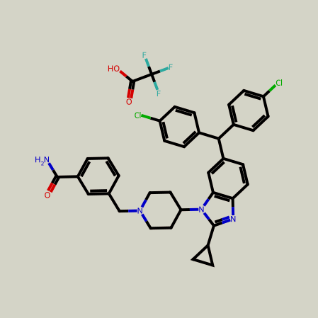 NC(=O)c1cccc(CN2CCC(n3c(C4CC4)nc4ccc(C(c5ccc(Cl)cc5)c5ccc(Cl)cc5)cc43)CC2)c1.O=C(O)C(F)(F)F